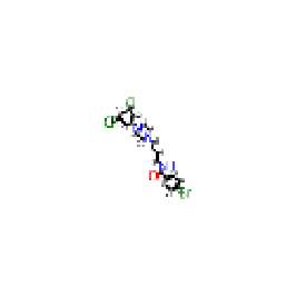 O=C(NCCCCN1CCN(c2cc(Cl)cc(Cl)c2)CC1)c1ccc(Br)cc1